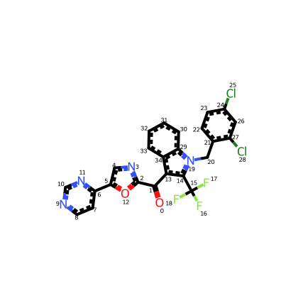 O=C(c1ncc(-c2ccncn2)o1)c1c(C(F)(F)F)n(Cc2ccc(Cl)cc2Cl)c2ccccc12